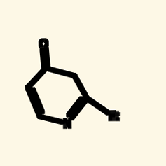 CCC1=NC=CC(=O)C1